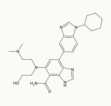 CN(C)CCN(CCO)c1cc(-c2ccc3c(c2)ncn3C2CCCCC2)c2nc[nH]c2c1C(N)=O